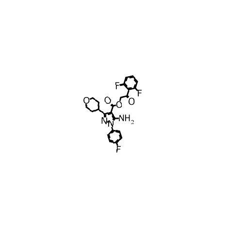 Nc1c(C(=O)OCC(=O)c2c(F)cccc2F)c(C2CCOCC2)nn1-c1ccc(F)cc1